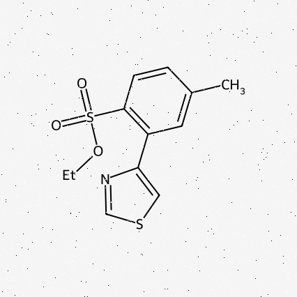 CCOS(=O)(=O)c1ccc(C)cc1-c1cscn1